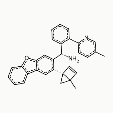 Cc1ccc(-c2ccccc2[C@H](N)c2cc3oc4ccccc4c3cc2[C@]23C=CC2(C)C3)nc1